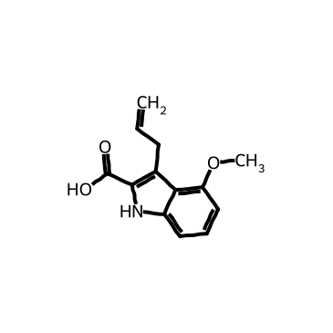 C=CCc1c(C(=O)O)[nH]c2cccc(OC)c12